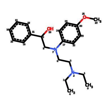 CCN(CC)CCN(CC(O)c1ccccc1)c1ccc(OC)cc1